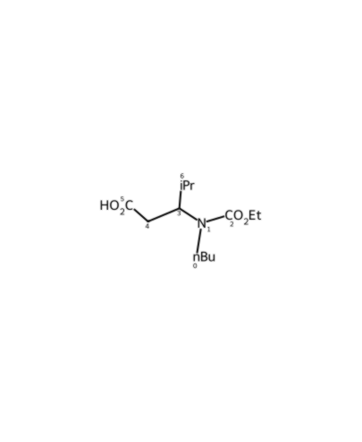 CCCCN(C(=O)OCC)C(CC(=O)O)C(C)C